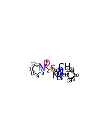 Cn1c(SCC(=O)N2CCCCCC2)nnc1-c1ccccc1